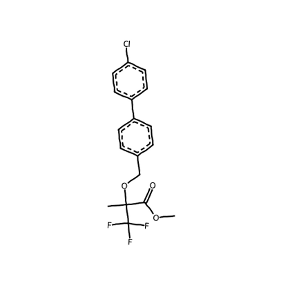 COC(=O)C(C)(OCc1ccc(-c2ccc(Cl)cc2)cc1)C(F)(F)F